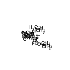 CN(c1ccccc1CNc1nc(-c2cc(F)c(OCOCC[Si](C)(C)C)cc2CC(F)(F)F)nc2c1c(C(=O)O)nn2COCC[Si](C)(C)C)S(=O)(=O)c1ccccc1